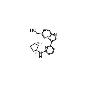 C[C@H]1CCC[C@@H]1Nc1cccc(-c2cnc3ccc(CO)cn23)n1